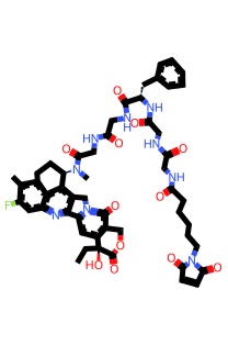 CC[C@@]1(O)C(=O)OCc2c1cc1n(c2=O)Cc2c-1nc1cc(F)c(C)c3c1c2[C@@H](N(C)C(=O)CNC(=O)CNC(=O)[C@H](Cc1ccccc1)NC(=O)CNC(=O)CNC(=O)CCCCCN1C(=O)C=CC1=O)CC3